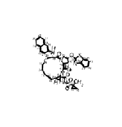 CC1(S(=O)(=O)NC(=O)[C@@]23C[C@H]2/C=C\CCCCC[C@H](Nc2ccc4ccccc4c2)C(=O)N2C[C@H](Oc4nc5ccccc5s4)C[C@H]2C(=O)N3)CC1